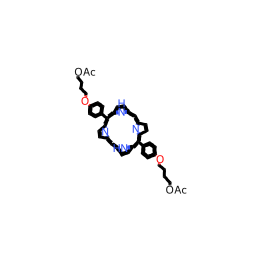 CC(=O)OCCCCOc1ccc(-c2c3nc(cc4ccc([nH]4)c(-c4ccc(OCCCCOC(C)=O)cc4)c4nc(cc5ccc2[nH]5)C=C4)C=C3)cc1